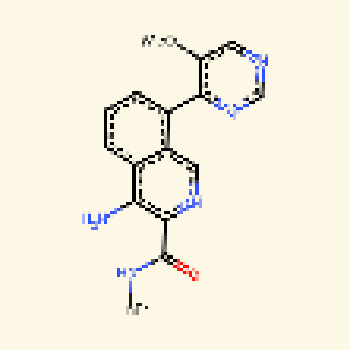 CCCNC(=O)c1ncc2c(-c3ncncc3OC)cccc2c1N